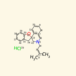 CC(C)=CCN1C=C2CC=CC=C2C2(Cc3ccccc3O2)C1.Cl